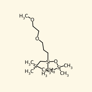 COCCOCCC[Si](C)(C[Si](C)(C)C)O[Si](C)(C)C